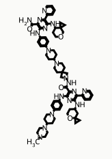 CN1CCN(C2CCN(c3ccc(Nc4nc(NC5CCOC6(CC6)C5)c(-c5ccccn5)nc4C(=O)NN4CC5(CCN(C6CCN(c7ccc(Nc8nc(NC9CCOCC9%10CC%10)c(-c9ccccn9)nc8C(N)=O)cc7)CC6)CC5)C4)cc3)CC2)CC1